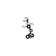 Cc1cc(-c2noc(CCC3(c4ccccn4)CCCCC3=O)n2)cc(C)c1OC[C@@H](O)CO